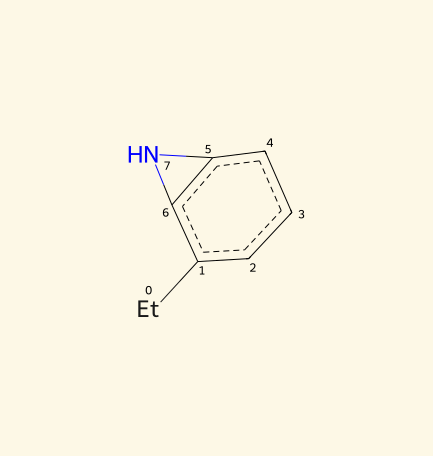 CCc1cccc2c1N2